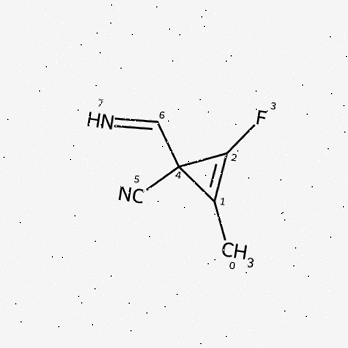 CC1=C(F)C1(C#N)C=N